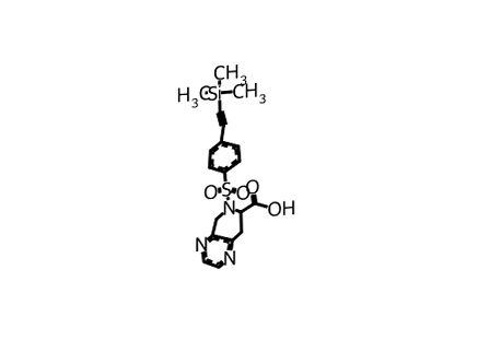 C[Si](C)(C)C#Cc1ccc(S(=O)(=O)N2Cc3nccnc3CC2C(=O)O)cc1